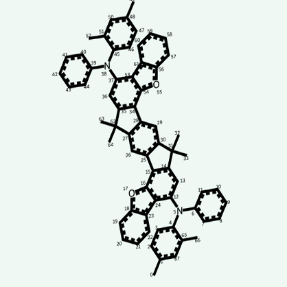 Cc1ccc(N(c2ccccc2)c2cc3c(c4oc5ccccc5c24)-c2cc4c(cc2C3(C)C)-c2c(cc(N(c3ccccc3)c3ccc(C)cc3C)c3c2oc2ccccc23)C4(C)C)c(C)c1